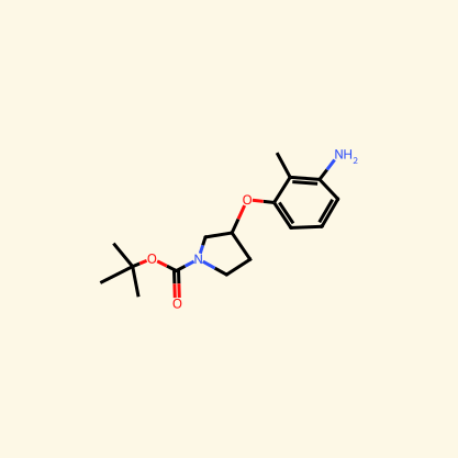 Cc1c(N)cccc1OC1CCN(C(=O)OC(C)(C)C)C1